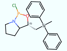 C[Si](C[C@H]1OP(Cl)N2CCCC12)(c1ccccc1)c1ccccc1